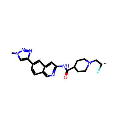 C[C@H](F)CN1CCC(C(=O)Nc2cc3cc(-c4cn(C)nn4)ccc3cn2)CC1